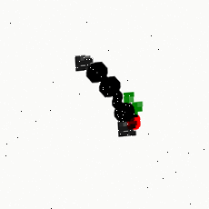 CCOc1ccc(CCc2ccc(-c3ccc(CC)cc3)cc2)c(F)c1F